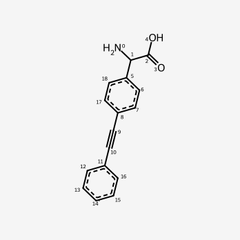 NC(C(=O)O)c1ccc(C#Cc2cc[c]cc2)cc1